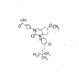 COC1CCC2(c3ccc(CCC(C)(C)C)c(Cl)c3)NC(=O)N(C34CC(C(=O)O)(C3)C4)C=C2C1